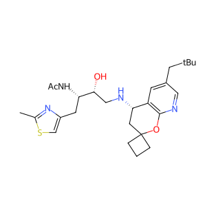 CC(=O)N[C@@H](Cc1csc(C)n1)[C@H](O)CN[C@H]1CC2(CCC2)Oc2ncc(CC(C)(C)C)cc21